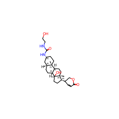 C[C@]12CC[C@@H](NC(=O)NCCO)C[C@H]1CC[C@@H]1[C@@H]2CC[C@]2(C)[C@@H](C3C=CC(=O)OC3)CC[C@]12O